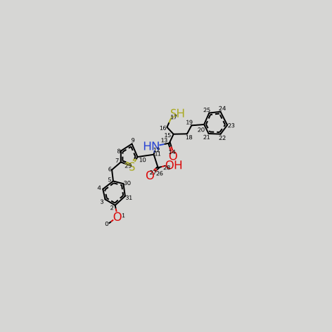 COc1ccc(Cc2ccc(C(NC(=O)C(CS)CCc3ccccc3)C(=O)O)s2)cc1